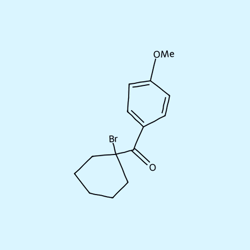 COc1ccc(C(=O)C2(Br)CCCCC2)cc1